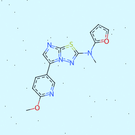 COc1ccc(-c2cnc3sc(N(C)c4ccco4)nn23)cn1